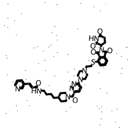 O=C(/C=C/c1cccnc1)NCCCCC1CCN(C(=O)c2ccc(N3CCN(CCSc4cccc5c4C(=O)N(C4CCC(=O)NC4=O)C5=O)CC3)nn2)CC1